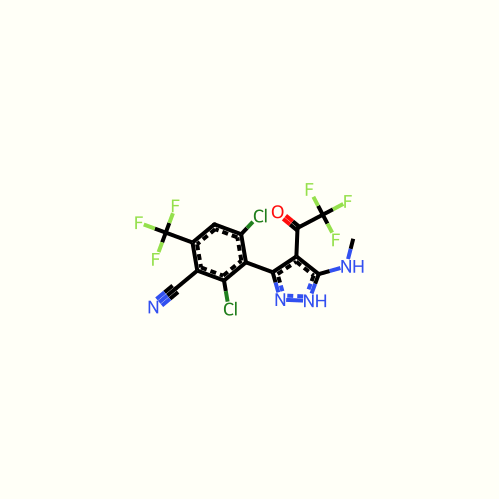 CNc1[nH]nc(-c2c(Cl)cc(C(F)(F)F)c(C#N)c2Cl)c1C(=O)C(F)(F)F